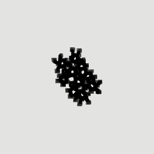 Cc1cc(N(c2cc(C)c(C)c(C)c2)c2cc3c(c4c2oc2ccccc24)-c2c(cc(N(c4cc(C)c(C)c(C)c4)c4cc(C)c(C)c(C)c4)c4c5c(oc24)C=CCC5)C32c3ccccc3-c3ccccc32)cc(C)c1C